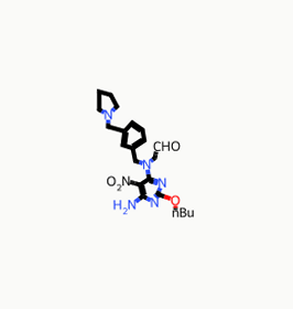 CCCCOc1nc(N)c([N+](=O)[O-])c(N(CC=O)Cc2cccc(CN3CCCC3)c2)n1